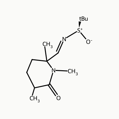 CC1CCC(C)(/C=N/[S@+]([O-])C(C)(C)C)N(C)C1=O